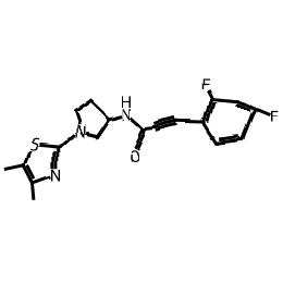 Cc1nc(N2CCC(NC(=O)C#Cc3ccc(F)cc3F)C2)sc1C